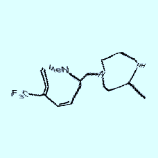 C=C(/C=C\C(NC)N1CCNC(C)C1)C(F)(F)F